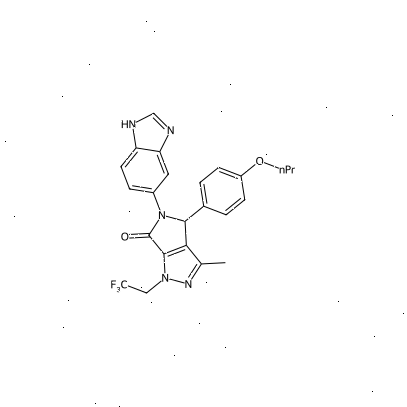 CCCOc1ccc(C2c3c(C)nn(CC(F)(F)F)c3C(=O)N2c2ccc3[nH]cnc3c2)cc1